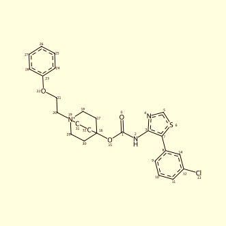 O=C(Nc1ncsc1-c1cccc(Cl)c1)OC12CC[N+](CCOc3ccccc3)(CC1)CC2